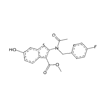 COC(=O)c1c(N(Cc2ccc(F)cc2)C(C)=O)sc2cc(O)ccc12